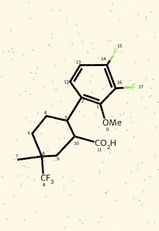 COc1c(C2CCC(C)(C(F)(F)F)CC2C(=O)O)ccc(F)c1F